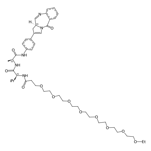 CCOCCOCCOCCOCCOCCOCCOCCOCCC(=O)N[C@H](C(=O)N[C@@H](C)C(=O)Nc1ccc(C2=CN3C(=O)c4ccccc4N=C[C@@H]3C2)cc1)C(C)C